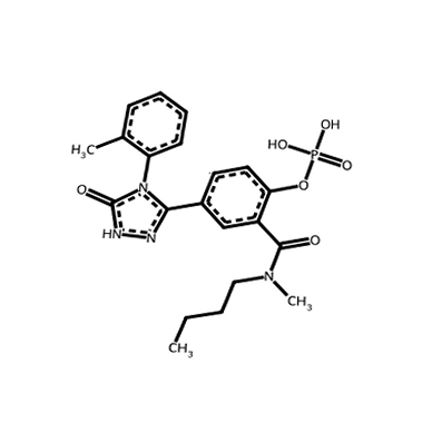 CCCCN(C)C(=O)c1cc(-c2n[nH]c(=O)n2-c2ccccc2C)[c]cc1OP(=O)(O)O